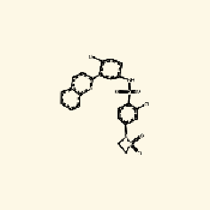 O=S(=O)(Nc1ccc(Cl)c(-c2ccc3ccccc3n2)c1)c1ccc(N2CCS2(=O)=O)cc1Cl